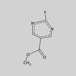 COC(=O)c1cnc(F)nc1